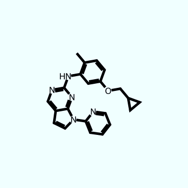 Cc1ccc(OCC2CC2)cc1Nc1ncc2ccn(-c3ccccn3)c2n1